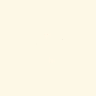 O=S(=O)(O)c1cc(O)c(S(=O)(=O)O)cc1O.[CaH2]